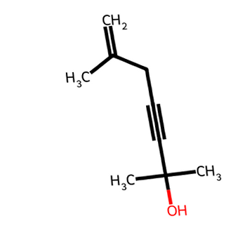 C=C(C)CC#CC(C)(C)O